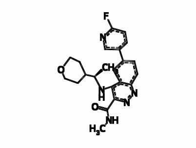 CNC(=O)c1nnc2ccc(-c3ccc(F)nc3)cc2c1N[C@H](C)C1CCOCC1